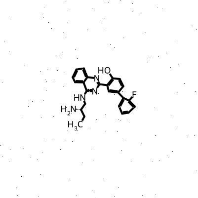 CC[C@H](N)CNc1nc(-c2cc(-c3ccccc3F)ccc2O)nc2ccccc12